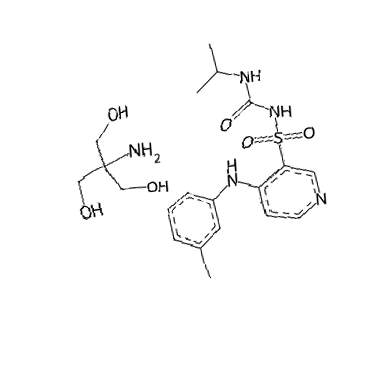 Cc1cccc(Nc2ccncc2S(=O)(=O)NC(=O)NC(C)C)c1.NC(CO)(CO)CO